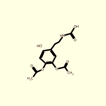 CC(=O)Oc1ccc(CCNC(=O)O)cc1OC(C)=O.Cl